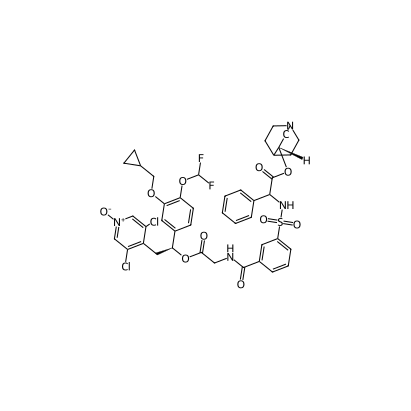 O=C(CNC(=O)c1cccc(S(=O)(=O)NC(C(=O)O[C@H]2CN3CCC2CC3)c2ccccc2)c1)O[C@@H](Cc1c(Cl)c[n+]([O-])cc1Cl)c1ccc(OC(F)F)c(OCC2CC2)c1